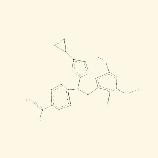 CCOc1cc(CN(c2ccc(C(=N)N)cc2)c2nc(C3CC3)c[nH]2)c(F)c(OC(C)C)c1